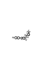 COc1cc2nn(C3CCC4(CCNCC4)CC3)cc2cc1NC(=O)c1cccc(C(F)(F)F)n1